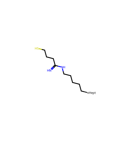 CCCCCCCCCCCCNC(=N)CCCS